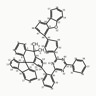 CC1(C)c2ccccc2C2(c3ccccc3-c3ccccc32)c2cc(-c3ccccc3-c3nc(-c4ccccc4)nc(-c4ccc(-c5cccc6c5oc5ccccc56)cc4)n3)ccc21